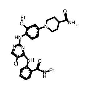 CCNC(=O)c1ccccc1Nc1nc(Nc2ccc(N3CCC(C(N)=O)CC3)cc2OCC)ncc1Cl